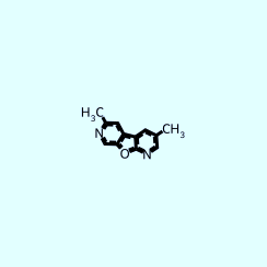 Cc1cnc2oc3cnc(C)cc3c2c1